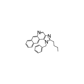 CCCCc1nc2cnc3cc4ccccc4cc3c2n1Cc1ccccc1